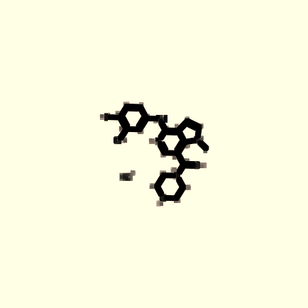 Cl.Cn1ccc2c(Nc3ccc(F)c(Cl)c3)ncc(C(=O)N3CCOCC3)c21